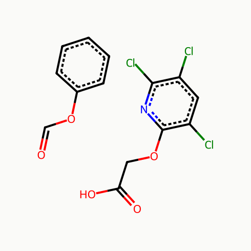 O=C(O)COc1nc(Cl)c(Cl)cc1Cl.O=COc1ccccc1